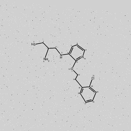 NC(CS)CNc1cccnc1OCCc1ccccc1Cl